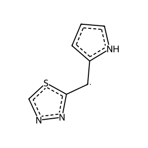 [CH](c1ccc[nH]1)c1nncs1